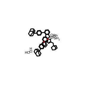 CC[CH2][Zr]([CH3])(=[SiH2])([CH]1C(CC23CCC(CC2)C3)=Cc2c(-c3ccc(C45CC6CC(CC(C6)C4)C5)cc3)cccc21)[CH]1C(CC23CCC(CC2)C3)=Cc2c(-c3ccc(C45CC6CC(CC(C6)C4)C5)cc3)cccc21.Cl.Cl